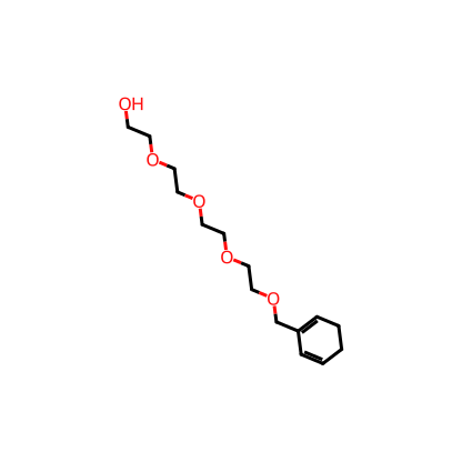 OCCOCCOCCOCCOCC1=CCCC=C1